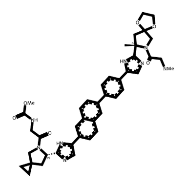 CNCC(=O)N1CC2(C[C@@]1(C)c1ncc(-c3ccc(-c4ccc5cc(-c6cnc([C@@H]7CC8(CC8)CN7C(=O)CNC(=O)OC)[nH]6)ccc5c4)cc3)[nH]1)OCCO2